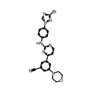 N#Cc1cc(-c2ccnc(Nc3ccc(-n4cnc(Br)n4)cc3)n2)cc(N2CCOCC2)c1